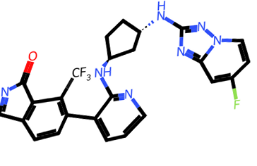 O=C1N=Cc2ccc(-c3cccnc3N[C@H]3CC[C@H](Nc4nc5cc(F)ccn5n4)C3)c(C(F)(F)F)c21